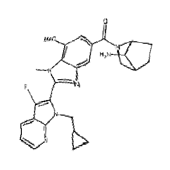 COc1cc(C(=O)N2CC3CCC2C3N)cc2nc(-c3c(F)c4cccnc4n3CC3CC3)n(C)c12